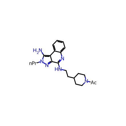 CCCn1nc2c(NCCC3CCN(C(C)=O)CC3)nc3ccccc3c2c1N